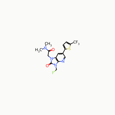 CN(C)C(=O)Cn1c(=O)n(CF)c2ncc(-c3ccc(C(F)(F)F)s3)cc21